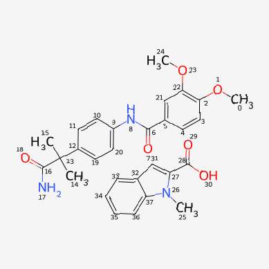 COc1ccc(C(=O)Nc2ccc(C(C)(C)C(N)=O)cc2)cc1OC.Cn1c(C(=O)O)cc2ccccc21